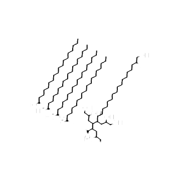 CCCCCCCCCCCCCCCCCC(=O)O.CCCCCCCCCCCCCCCCCC(=O)O.CCCCCCCCCCCCCCCCCC(=O)O.CCCCCCCCCCCCCCCCCC(=O)O.O=C(O)C(CC(O)CO)C(CC(O)CO)C(CCCCCCCCCCCCCCCC(O)CO)CC(O)CO